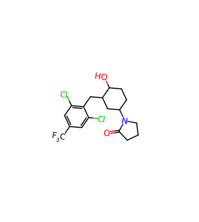 O=C1CCCN1C1CCC(O)C(Cc2c(Cl)cc(C(F)(F)F)cc2Cl)C1